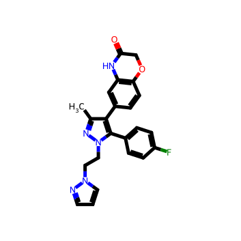 Cc1nn(CCn2cccn2)c(-c2ccc(F)cc2)c1-c1ccc2c(c1)NC(=O)CO2